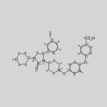 O=C(O)c1ccc(Oc2ccc(CN3CCC(N4C(=O)N(C5CCOCC5)CC4c4cccc(F)c4)CC3)cn2)cc1